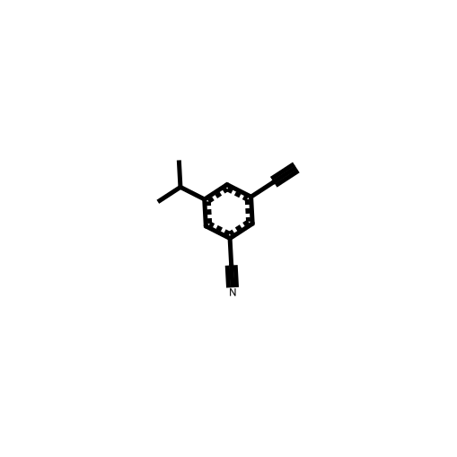 C#Cc1cc(C#N)cc(C(C)C)c1